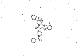 Cc1c(N2CCN(C(=O)c3ccccc3)CC2)c(=O)n(C[C@@H](N)c2ccccc2)c(=O)n1Cc1c(F)cccc1F